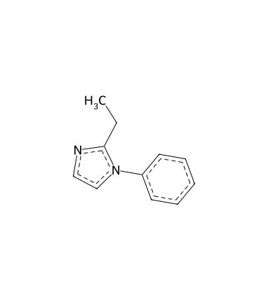 CCc1nccn1-c1ccccc1